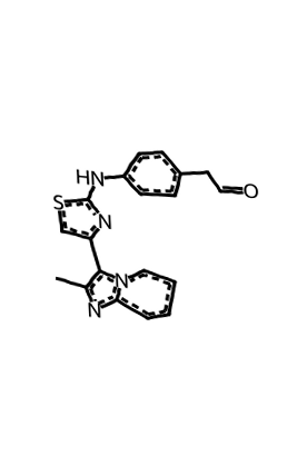 Cc1nc2ccccn2c1-c1csc(Nc2ccc(CC=O)cc2)n1